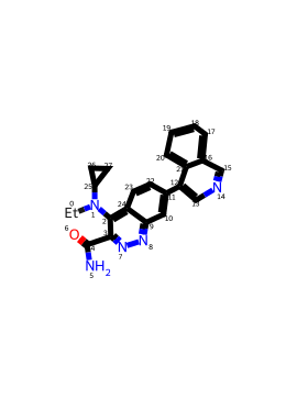 CCN(c1c(C(N)=O)nnc2cc(-c3cncc4ccccc34)ccc12)C1CC1